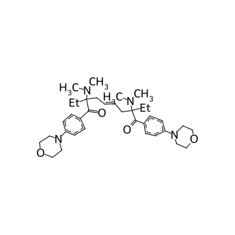 CCC(CC=CCC(CC)(C(=O)c1ccc(N2CCOCC2)cc1)N(C)C)(C(=O)c1ccc(N2CCOCC2)cc1)N(C)C